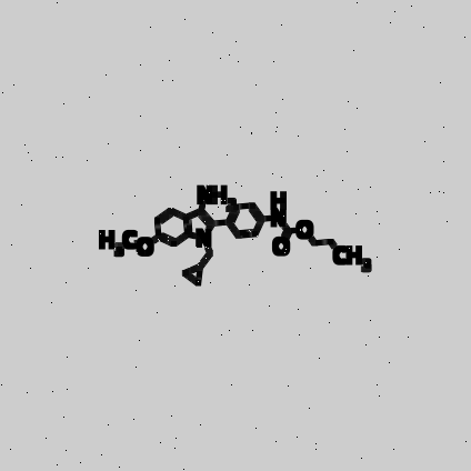 CCCOC(=O)Nc1ccc(-c2c(N)c3ccc(OC)cc3n2CC2CC2)cc1